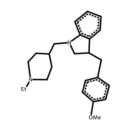 CCN1CCC(CN2CC(Cc3ccc(OC)cc3)c3ccccc32)CC1